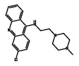 CN1CCN(CCNc2c3ccccc3nc3cc(Cl)ccc23)CC1